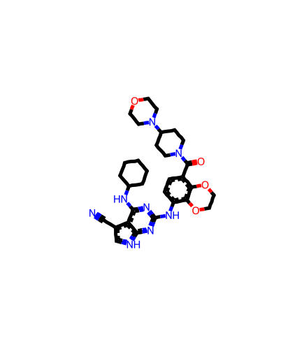 N#Cc1c[nH]c2nc(Nc3ccc(C(=O)N4CCC(N5CCOCC5)CC4)c4c3OCCO4)nc(NC3CCCCC3)c12